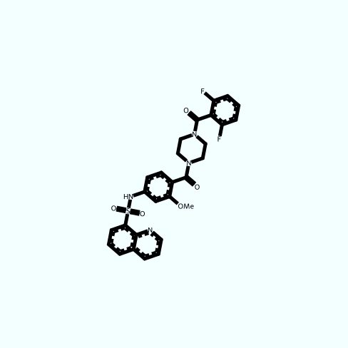 COc1cc(NS(=O)(=O)c2cccc3cccnc23)ccc1C(=O)N1CCN(C(=O)c2c(F)cccc2F)CC1